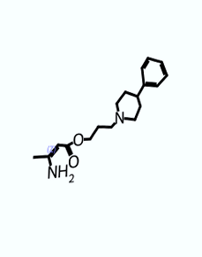 C/C(N)=C/C(=O)OCCCN1CCC(c2ccccc2)CC1